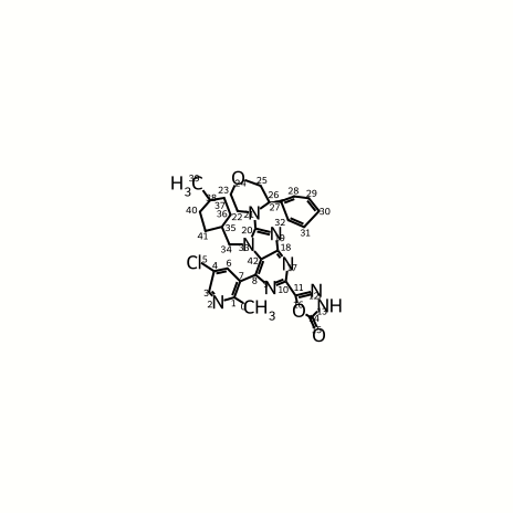 Cc1ncc(Cl)cc1-c1nc(-c2n[nH]c(=O)o2)nc2nc(N3CCOC[C@H]3c3ccccc3)n(CC3CCC(C)CC3)c12